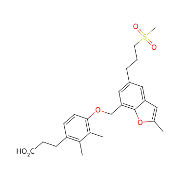 Cc1cc2cc(CCCS(C)(=O)=O)cc(COc3ccc(CCC(=O)O)c(C)c3C)c2o1